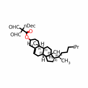 CCCCCCCCCCC(C=O)(C=O)C(=O)OC1CC[C@@]2(C)C(=CC[C@H]3[C@@H]4CC[C@H]([C@H](C)CCCC(C)C)[C@@]4(C)CC[C@@H]32)C1